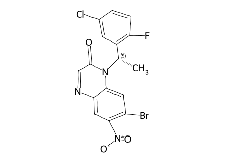 C[C@@H](c1cc(Cl)ccc1F)n1c(=O)cnc2cc([N+](=O)[O-])c(Br)cc21